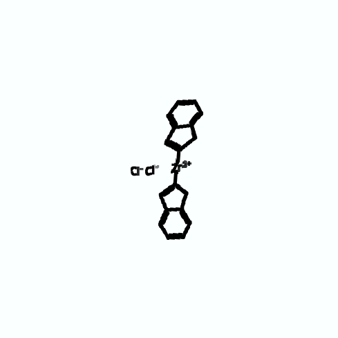 C1=[C]([Zr+2][C]2=Cc3ccccc3C2)Cc2ccccc21.[Cl-].[Cl-]